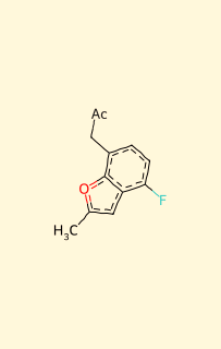 CC(=O)Cc1ccc(F)c2cc(C)oc12